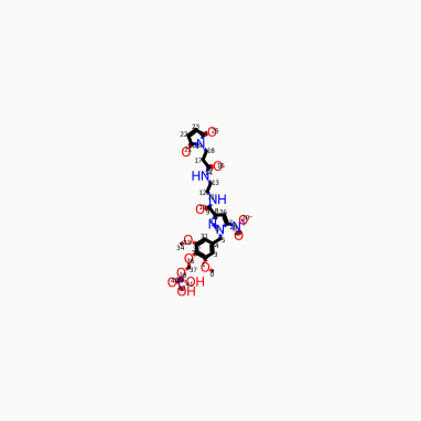 COc1cc(Cn2nc(C(=O)NCCNC(=O)CCN3C(=O)C=CC3=O)cc2[N+](=O)[O-])cc(OC)c1OCOP(=O)(O)O